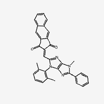 Cc1cccc(C)c1-n1c(C=C2C(=O)c3cc4ccccc4cc3C2=O)nc2c1nc(-c1ccccc1)n2C